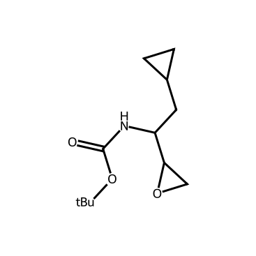 CC(C)(C)OC(=O)NC(CC1CC1)C1CO1